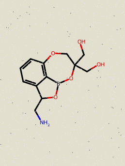 NCC1OB2OC(CO)(CO)COc3cccc1c32